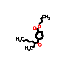 CCCCCC(CC)C(=O)C1=CC=CC(C(=O)OCCCC)=CC1